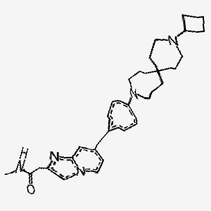 CNC(=O)c1cn2ccc(-c3ccc(N4CCC5(CC4)CCN(C4CCC4)CC5)cc3)cc2n1